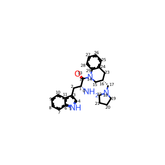 N[C@H](Cc1c[nH]c2ccccc12)C(=O)N1C[C@@H](CN2CCCC2)Cc2ccccc21